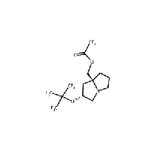 O=C(OC[C@@]12CCCN1C[C@H](OC(C(F)(F)F)(C(F)(F)F)C(F)(F)F)C2)C(F)(F)F